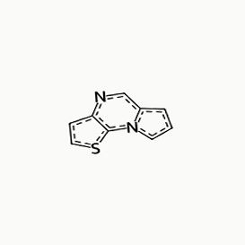 c1cc2cnc3ccsc3n2c1